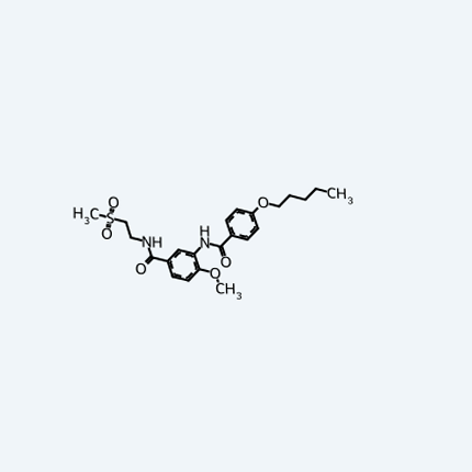 CCCCCOc1ccc(C(=O)Nc2cc(C(=O)NCCS(C)(=O)=O)ccc2OC)cc1